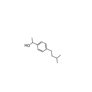 CC(C)CCc1ccc(C(C)O)cc1